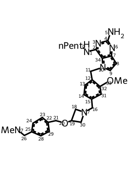 CCCCCNc1nc(N)nc2ccn(Cc3ccc(CN4CC(OCc5ccc(CNC)cc5)C4)cc3OC)c12